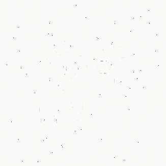 Cc1cc(-c2ccc3c(c2)c2cc(-c4cc(C(C)(C)C)cc(C(F)(F)F)c4)ccc2n3-c2ccccc2C23CC4CC(CC(C4)C2)C3)cc(C(C)(C)C)c1